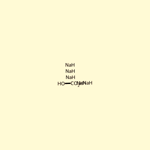 O=C(O)O.[NaH].[NaH].[NaH].[NaH].[NaH]